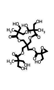 CC(CO)(CO)C(=O)OCC(COC(=O)C(C)(CO)CO)(COC(=O)C(C)(CO)CO)COC(=O)C1(CO)CO1